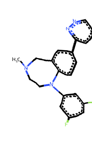 CN1CCN(c2cc(F)cc(F)c2)c2ccc(-c3cccnn3)cc2C1